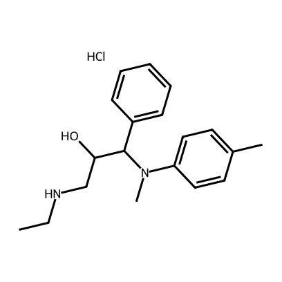 CCNCC(O)C(c1ccccc1)N(C)c1ccc(C)cc1.Cl